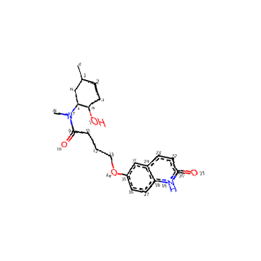 CC1CCC(O)C(N(C)C(=O)CCCOc2ccc3[nH]c(=O)ccc3c2)C1